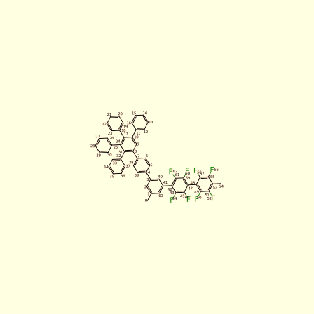 Cc1cc(-c2ccc(-c3cc(-c4ccccc4)c(-c4ccccc4)c(-c4ccccc4)c3-c3ccccc3)cc2)cc(-c2c(F)c(F)c(-c3c(F)c(F)c(C)c(F)c3F)c(F)c2F)c1